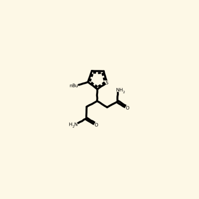 CCCCc1ccsc1C(CC(N)=O)CC(N)=O